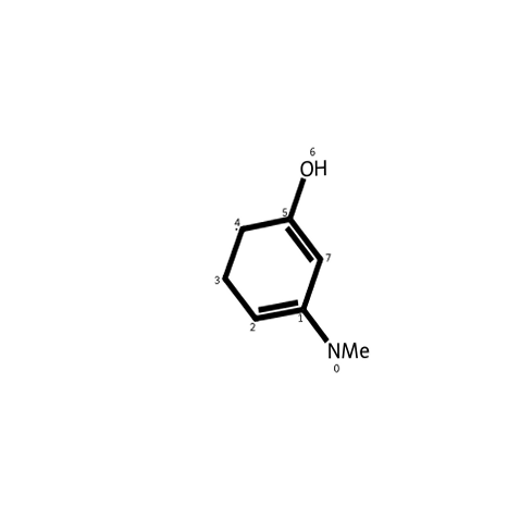 CNC1=CC[CH]C(O)=C1